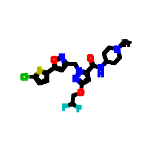 CC(C)N1CCC(NC(=O)c2cc(OCC(F)F)nn2Cc2cc(-c3ccc(Cl)s3)on2)CC1